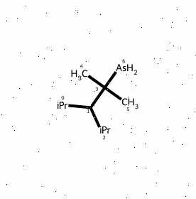 CC(C)C(C(C)C)C(C)(C)[AsH2]